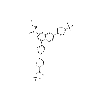 CCOC(=O)c1cc(-c2ccc(C3=CCN(C(=O)OC(C)(C)C)CC3)cc2)c2ccc(-c3ccc(C(F)(F)F)cc3)cc2c1